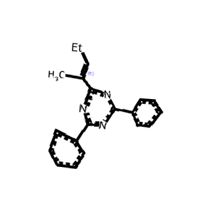 CC/C=C(\C)c1nc(-c2ccccc2)nc(-c2ccccc2)n1